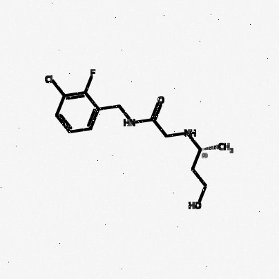 C[C@H](CCO)NCC(=O)NCc1cccc(Cl)c1F